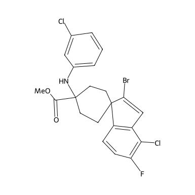 COC(=O)C1(Nc2cccc(Cl)c2)CCC2(CC1)C(Br)=Cc1c2ccc(F)c1Cl